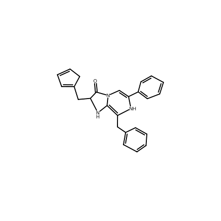 O=C1C(CC2=CC=CC2)NC2=C(Cc3ccccc3)NC(c3ccccc3)=CN12